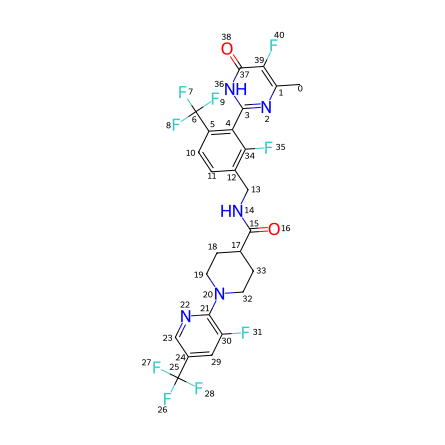 Cc1nc(-c2c(C(F)(F)F)ccc(CNC(=O)C3CCN(c4ncc(C(F)(F)F)cc4F)CC3)c2F)[nH]c(=O)c1F